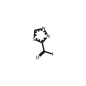 O=C(I)c1nncs1